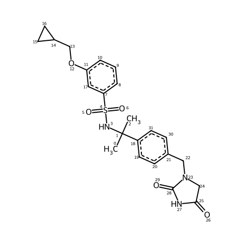 CC(C)(NS(=O)(=O)c1cccc(OCC2CC2)c1)c1ccc(CN2CC(=O)NC2=O)cc1